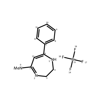 CNC1=NCCNC(c2ccccc2)=C1.F[B-](F)(F)F